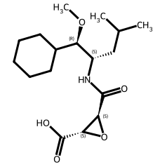 CO[C@H](C1CCCCC1)[C@H](CC(C)C)NC(=O)[C@H]1O[C@@H]1C(=O)O